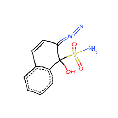 [N-]=[N+]=C1C=Cc2ccccc2C1(O)S(N)(=O)=O